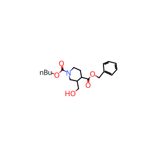 CCCCOC(=O)N1CCC(C(=O)OCc2ccccc2)C(CO)C1